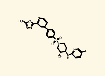 Cc1ccc(N[C@@H]2CCN(S(=O)(=O)c3ccc(-c4ccnc(-c5nnc(N)o5)c4)cc3)C[C@@H]2O)nc1